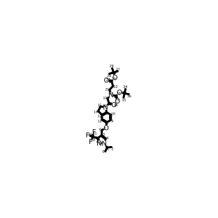 CC(C)n1cc(COc2ccc3c(c2)CCN3C(=O)CN(CCC(=O)OC(C)(C)C)C(=O)OC(C)(C)C)c(C(F)(F)F)n1